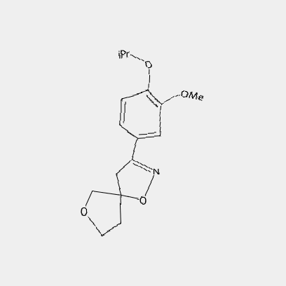 COc1cc(C2=NOC3(CCOC3)C2)ccc1OC(C)C